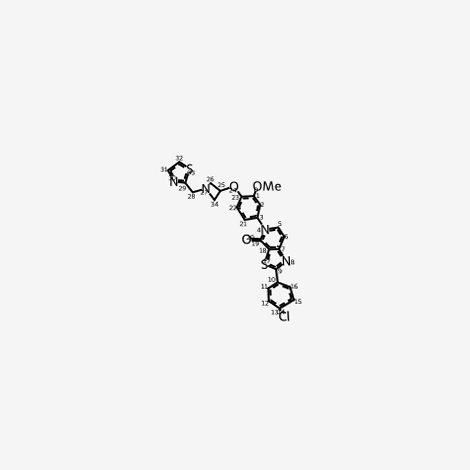 COc1cc(-n2ccc3nc(-c4ccc(Cl)cc4)sc3c2=O)ccc1OC1CN(Cc2nccs2)C1